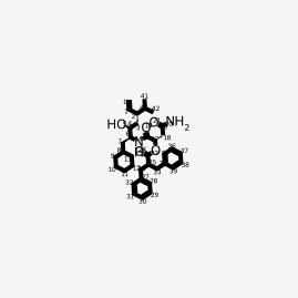 C=C[C@@H](C[C@H](O)[C@H](CC1CCCCC1)NC(=O)[C@H](CC(N)=O)OC(=O)C(Cc1ccccc1)Cc1ccccc1)C(C)C